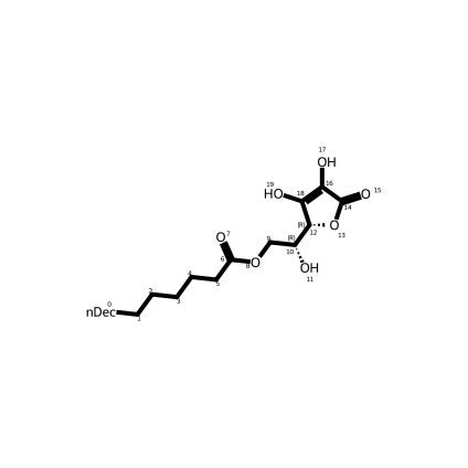 CCCCCCCCCCCCCCCC(=O)OC[C@@H](O)[C@H]1OC(=O)C(O)=C1O